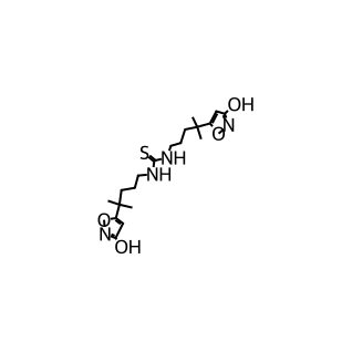 CC(C)(CCCNC(=S)NCCCC(C)(C)c1cc(O)no1)c1cc(O)no1